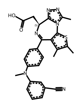 Cc1sc2c(c1C)C(c1ccc(N(C)c3cccc(C#N)c3)cc1)=N[C@@H](CC(=O)O)c1nnc(C)n1-2